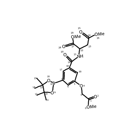 COC(=O)COc1cc(B2OC(C)(C)C(C)(C)O2)cc(C(=O)NC(CC(=O)OC)C(=O)OC)c1